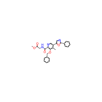 COC(=O)CNC(=O)c1ncc(-c2cnc(-c3ccccc3)o2)c(C)c1OCc1ccccc1